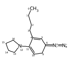 CCCCC1=CC(=[N+]=[N-])CC=C1N1CCCC1